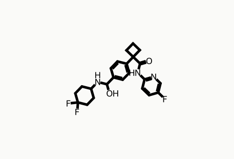 O=C(Nc1ccc(F)cn1)C1(c2ccc(C(O)NC3CCC(F)(F)CC3)cc2)CCC1